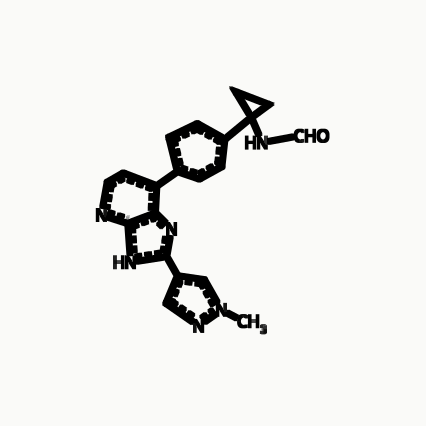 Cn1cc(-c2nc3c(-c4ccc(C5(NC=O)CC5)cc4)ccnc3[nH]2)cn1